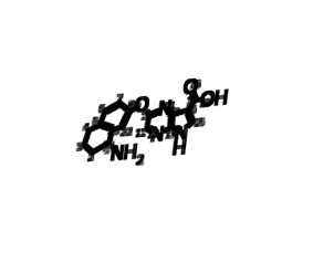 N[C@@H]1CCCc2ccc(Oc3cnc4[nH]cc(C(=O)O)c4n3)cc21